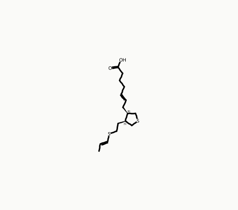 CC=CSCC[C@@H]1CSC[C@@H]1CC=CCCCC(=O)O